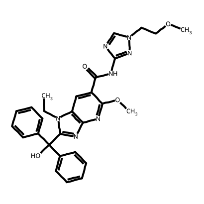 CCn1c(C(O)(c2ccccc2)c2ccccc2)nc2nc(OC)c(C(=O)Nc3ncn(CCOC)n3)cc21